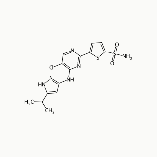 CC(C)c1cc(Nc2nc(-c3ccc(S(N)(=O)=O)s3)ncc2Cl)n[nH]1